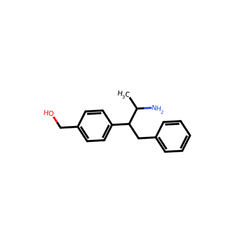 CC(N)C(Cc1ccccc1)c1ccc(CO)cc1